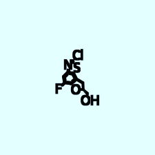 OC[C@@H]1Cc2c(c(F)cc3nc(Cl)sc23)O1